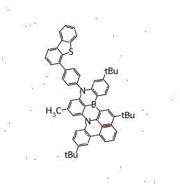 Cc1cc2c3c(c1)N(c1ccc(C(C)(C)C)cc1-c1ccccc1)c1ccc(C(C)(C)C)cc1B3c1ccc(C(C)(C)C)cc1N2c1ccc(-c2cccc3c2sc2ccccc23)cc1